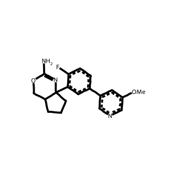 COc1cncc(-c2ccc(F)c(C34CCCC3COC(N)=N4)c2)c1